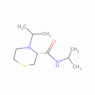 CC(C)NC(=O)[C@@H]1CSCCN1C(C)C